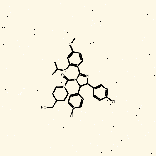 COc1ccc(C2=NC(c3ccc(Cl)cc3)C(c3ccc(Cl)cc3)N2C(=O)N2CCC(CO)CC2)c(OC(C)C)c1